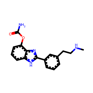 CNCCc1cccc(-c2nc3c(OC(N)=O)cccc3[nH]2)c1